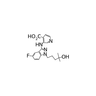 CC(C)(O)CCCn1nc(Nc2cnccc2C(=O)O)c2cc(F)ccc21